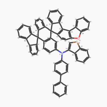 c1ccc(-c2ccc(N(c3ccc4c(c3)C3(c5ccccc5-c5c3ccc3oc6ccccc6c53)c3ccccc3C43c4ccccc4-c4ccccc43)c3csc4ccccc34)cc2)cc1